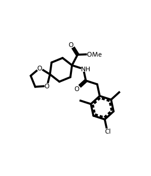 COC(=O)C1(NC(=O)Cc2c(C)cc(Cl)cc2C)CCC2(CC1)OCCO2